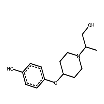 CC(CO)N1CCC(Oc2ccc(C#N)cc2)CC1